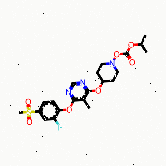 Cc1c(Oc2ccc(S(C)(=O)=O)cc2F)ncnc1OC1CCN(OC(=O)OC(C)C)CC1